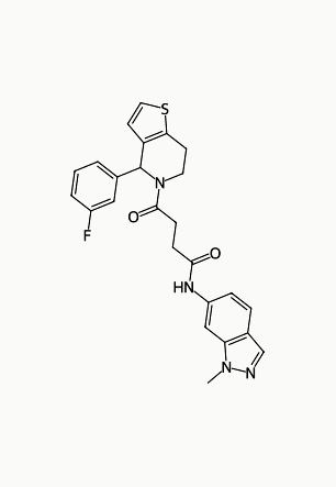 Cn1ncc2ccc(NC(=O)CCC(=O)N3CCc4sccc4C3c3cccc(F)c3)cc21